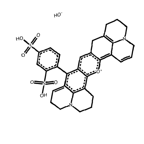 O=S(=O)(O)c1ccc(-c2c3c4c(c5[o+]c6c(cc25)CC2=C5C=6C=CCN5CCC2)CCCN4CCC=3)c(S(=O)(=O)O)c1.[OH-]